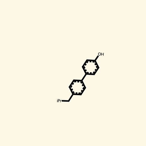 CC(C)Cc1ccc(-c2ccc(O)cc2)cc1